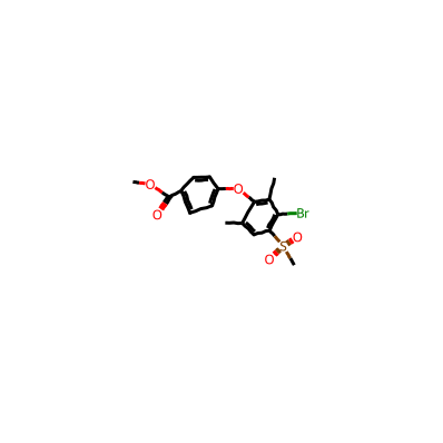 COC(=O)c1ccc(Oc2c(C)cc(S(C)(=O)=O)c(Br)c2C)cc1